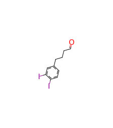 O=CCCCc1ccc(I)c(I)c1